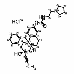 CC#C[C@@]1(O)CC[C@]2(Cc3ccccc3)c3ccc(OC(=O)NCCN4CCCC4)cc3CC[C@H]2C1.Cl